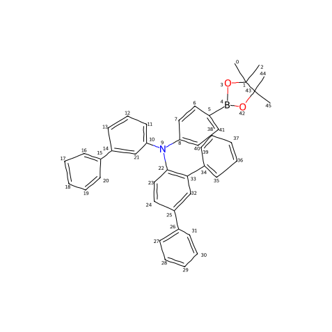 CC1(C)OB(c2ccc(N(c3cccc(-c4ccccc4)c3)c3ccc(-c4ccccc4)cc3-c3ccccc3)cc2)OC1(C)C